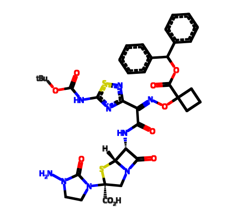 CC(C)(C)OC(=O)Nc1nc(/C(=N/OC2(C(=O)OC(c3ccccc3)c3ccccc3)CCC2)C(=O)N[C@@H]2C(=O)N3C[C@@](C(=O)O)(N4CCN(N)C4=O)S[C@H]23)ns1